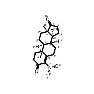 C[C@]12CCC(=O)C([N+](=O)[O-])=C1CC[C@@H]1[C@@H]2CC[C@]2(C)C(=O)CC[C@@H]12